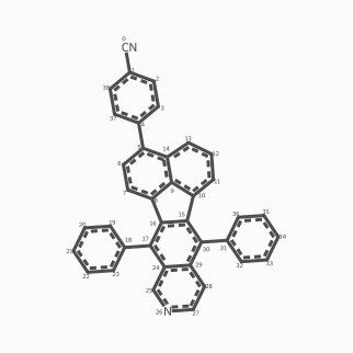 N#Cc1ccc(-c2ccc3c4c(cccc24)-c2c-3c(-c3ccccc3)c3cnccc3c2-c2ccccc2)cc1